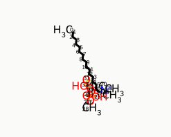 CCCCCCCCCCCCCCC(CC(C[N+](C)(C)C)OP(=O)(O)OCC)S(=O)(=O)O